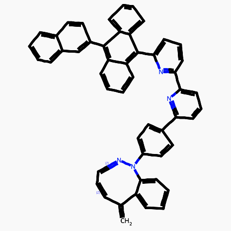 C=C1/C=C\C=N/N(c2ccc(-c3cccc(-c4cccc(-c5c6ccccc6c(-c6ccc7ccccc7c6)c6ccccc56)n4)n3)cc2)c2ccccc21